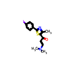 Cc1nc(-c2ccc(I)cc2)sc1C(=O)/C=C/N(C)C